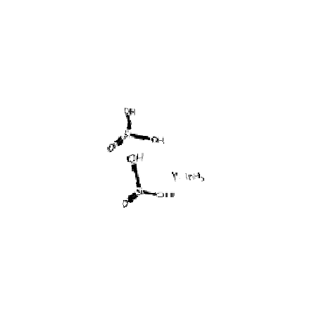 O=[Si](O)O.O=[Si](O)O.[InH3].[Y]